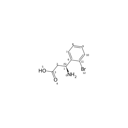 N[C@@H](CC(=O)O)c1ccccc1Br